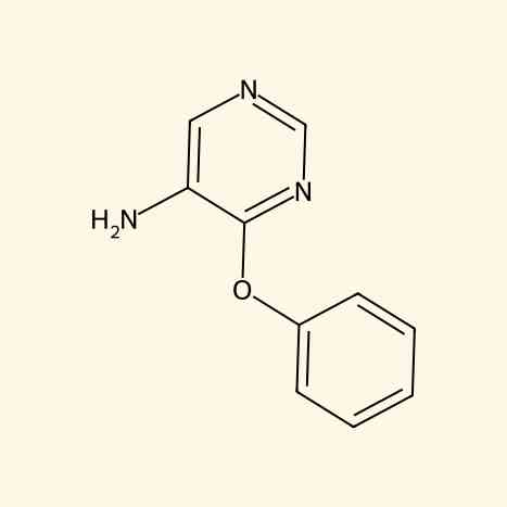 Nc1cncnc1Oc1ccccc1